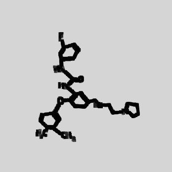 Cc1ccc(Oc2ccc(CNCCN3CCCC3)cc2NC(=O)Nc2cccc(F)c2)cc1C